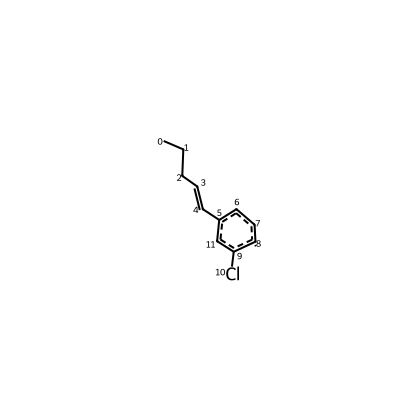 CCCC=Cc1cc[c]c(Cl)c1